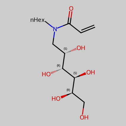 C=CC(=O)N(CCCCCC)C[C@H](O)[C@@H](O)[C@@H](O)[C@H](O)CO